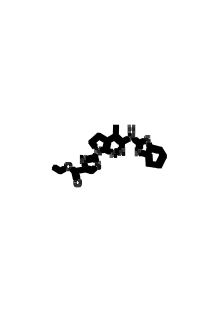 CCOC(=O)c1csc(N2CCc3c2nnc(Nc2nc4ccccc4s2)c3C)n1